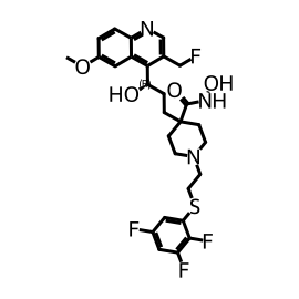 COc1ccc2ncc(CF)c([C@H](O)CCC3(C(=O)NO)CCN(CCSc4cc(F)cc(F)c4F)CC3)c2c1